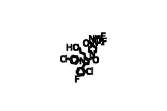 NC(=O)C1(N2CCC(F)(F)C2)CCN(C(=O)c2cc(-c3ccc(F)cc3Cl)n(-c3ccc(Cl)cc3)c2CCCO)CC1